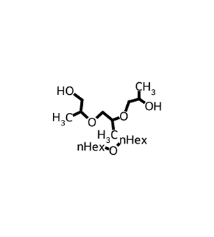 CC(O)COC(C)COC(C)CO.CCCCCCOCCCCCC